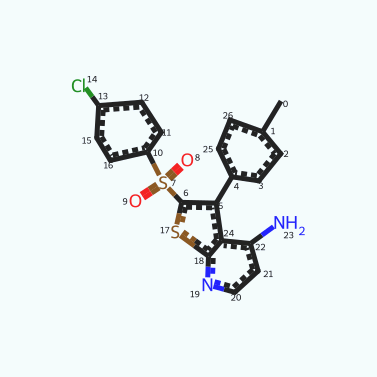 Cc1ccc(-c2c(S(=O)(=O)c3ccc(Cl)cc3)sc3nccc(N)c23)cc1